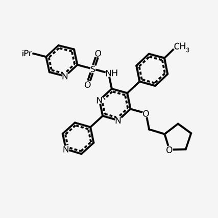 Cc1ccc(-c2c(NS(=O)(=O)c3ccc(C(C)C)cn3)nc(-c3ccncc3)nc2OCC2CCCO2)cc1